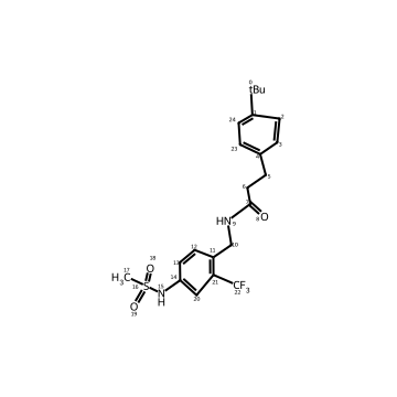 CC(C)(C)c1ccc(CCC(=O)NCc2ccc(NS(C)(=O)=O)cc2C(F)(F)F)cc1